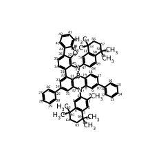 Cc1cc2c(cc1N1c3cc(-c4ccccc4)ccc3B3c4c(cc(-c5ccccc5)cc41)-c1ccc4c(oc5ccccc54)c1N3c1ccc3c(c1)C(C)(C)CCC3(C)C)C(C)(C)CCC2(C)C